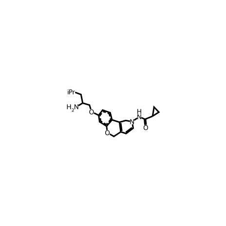 CC(C)CC(N)COc1ccc2c(c1)OCC1=C2CN(NC(=O)C2CC2)C=C1